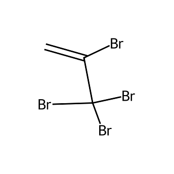 C=C(Br)C(Br)(Br)Br